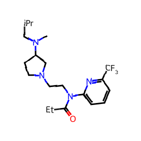 CCC(=O)N(CCN1CCC(N(C)CC(C)C)C1)c1cccc(C(F)(F)F)n1